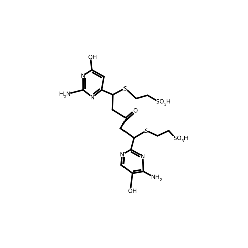 Nc1nc(O)cc(C(CC(=O)CC(SCCS(=O)(=O)O)c2ncc(O)c(N)n2)SCCS(=O)(=O)O)n1